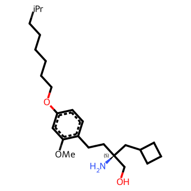 COc1cc(OCCCCCCC(C)C)ccc1CC[C@@](N)(CO)CC1CCC1